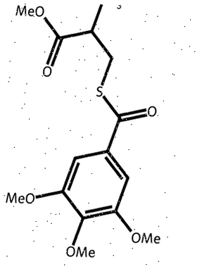 COC(=O)C(C)CSC(=O)c1cc(OC)c(OC)c(OC)c1